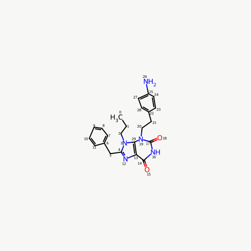 CCCn1c(Cc2ccccc2)nc2c(=O)[nH]c(=O)n(CCc3ccc(N)cc3)c21